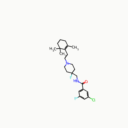 CC1=C(CCN2CCC(F)(CNC(=O)c3cc(F)cc(Cl)c3)CC2)C(C)(C)CCC1